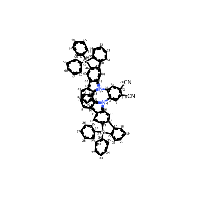 N#Cc1cc(-n2c3ccccc3c3cc4c(cc32)-c2ccccc2[Si]4(c2ccccc2)c2ccccc2)c(-n2c3ccccc3c3cc4c(cc32)-c2ccccc2[Si]4(c2ccccc2)c2ccccc2)cc1C#N